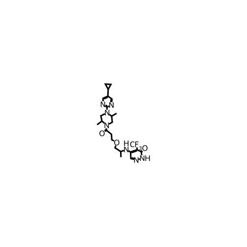 CC(COCCC(=O)N1CC(C)N(c2ncc(C3CC3)cn2)CC1C)Nc1cn[nH]c(=O)c1C(F)(F)F